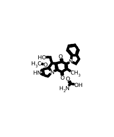 COC12C(CO)C3=C(C(=O)C(C)=C(N4CCc5ccccc54)C3=O)N1CC1NC12.NC(=O)O